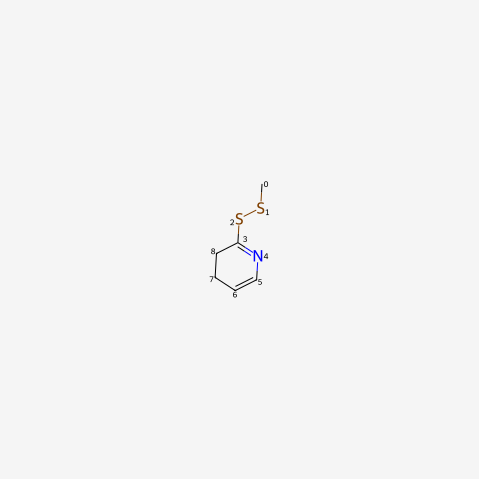 CSSC1=NC=CCC1